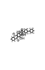 O=C1c2ccccc2C(=O)c2c1cc(NS(=O)(=O)c1ccc(-c3ccccc3)cc1)c(O)c2O